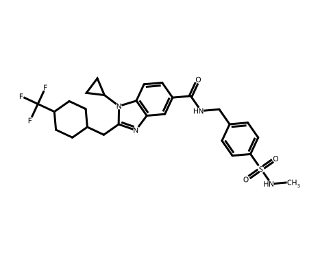 CNS(=O)(=O)c1ccc(CNC(=O)c2ccc3c(c2)nc(CC2CCC(C(F)(F)F)CC2)n3C2CC2)cc1